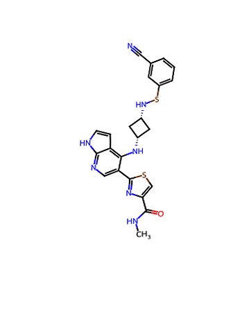 CNC(=O)c1csc(-c2cnc3[nH]ccc3c2N[C@H]2C[C@@H](NSc3cccc(C#N)c3)C2)n1